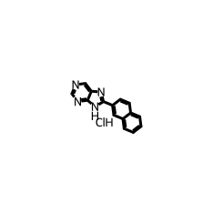 Cl.c1ccc2cc(-c3nc4cncnc4[nH]3)ccc2c1